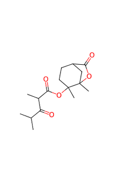 CC(C)C(=O)C(C)C(=O)OC1(C)CCC2CC1(C)OC2=O